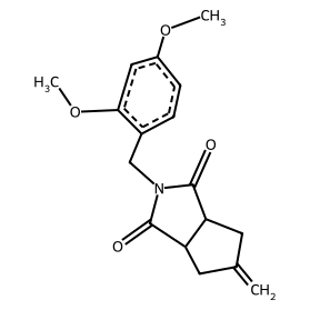 C=C1CC2C(=O)N(Cc3ccc(OC)cc3OC)C(=O)C2C1